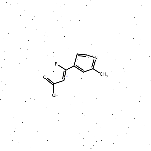 Cc1cc(/C(F)=C/C(=O)O)ccn1